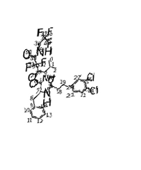 CC(C)[C@H](NC(=O)[C@H](Cc1ccccc1)NC(=O)CCc1ccc(Cl)c(Cl)c1)C(=O)C(F)(F)C(=O)NCC(F)(F)F